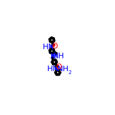 Nc1ccccc1NC(=O)c1ccc(CN2NCc3cc(NC(=O)c4ccccc4)ccc32)cc1